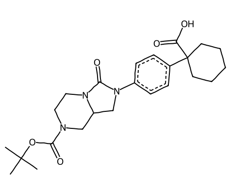 CC(C)(C)OC(=O)N1CCN2C(=O)N(c3ccc(C4(C(=O)O)CCCCC4)cc3)CC2C1